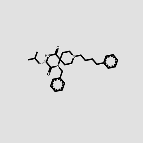 CC(C)C[C@@H]1NC(=O)C2(CCN(CCCCc3ccccc3)CC2)N(Cc2ccccc2)C1=O